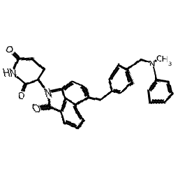 CN(Cc1ccc(Cc2ccc3c4c(cccc24)C(=O)N3C2CCC(=O)NC2=O)cc1)c1ccccc1